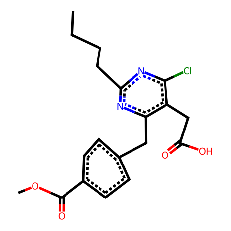 CCCCc1nc(Cl)c(CC(=O)O)c(Cc2ccc(C(=O)OC)cc2)n1